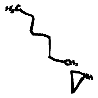 C1CN1.CCCCCC